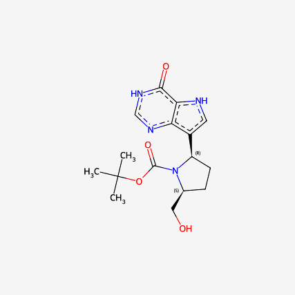 CC(C)(C)OC(=O)N1[C@H](CO)CC[C@@H]1c1c[nH]c2c(=O)[nH]cnc12